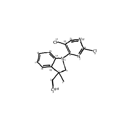 CC1(CO)CN(c2nc(Cl)ncc2Cl)c2ccccc21